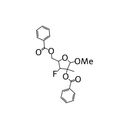 COC1OC(COC(=O)c2ccccc2)C(F)C1(C)OC(=O)c1ccccc1